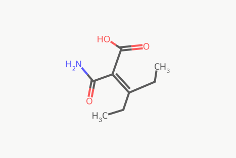 CCC(CC)=C(C(N)=O)C(=O)O